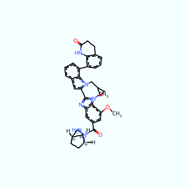 COc1cc(C(=O)N2C[C@H]3CC[C@@H]2[C@@H]3N)cc2nc(-c3cc4cccc(-c5cccc6c5NC(=O)CC6)c4n3CC3CC3)n(C)c12